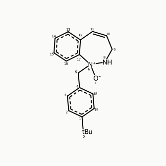 CC(C)(C)c1ccc(C[N+]2([O-])NCC=Cc3ccccc32)cc1